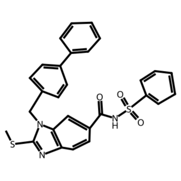 CSc1nc2ccc(C(=O)NS(=O)(=O)c3ccccc3)cc2n1Cc1ccc(-c2ccccc2)cc1